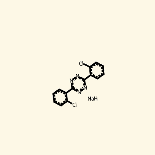 Clc1ccccc1-c1nnc(-c2ccccc2Cl)nn1.[NaH]